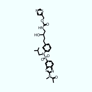 CC(=O)N(C)c1nc2ccc(S(=O)(=O)N(CC(C)C)c3cccc(CCC(O)CNC(=O)OCc4cncs4)c3)cc2s1